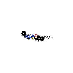 COc1ccc2cc(C=C3SC(N4CCN(Cc5ccccc5)CC4)=NC3=O)ccc2c1